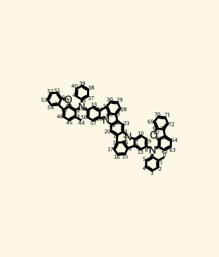 Cc1ccccc1N(c1ccc2c(c1)c1cccc3c4cc5c(cc4n2c13)c1cccc2c3cc(N(c4ccccc4)c4c(C)ccc6c4oc4ccccc46)ccc3n5c21)c1cccc2c1oc1ccccc12